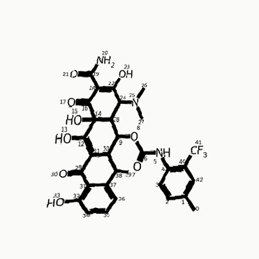 Cc1ccc(NC(=O)OC2C3C(=C(O)C4(O)C(=O)C(C(N)=O)=C(O)C(N(C)C)C24)C(=O)c2c(O)cccc2C3C)c(C(F)(F)F)c1